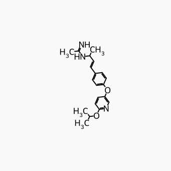 CC(=N)NC(C)/C=C/c1ccc(Oc2ccc(OC(C)C)nc2)cc1